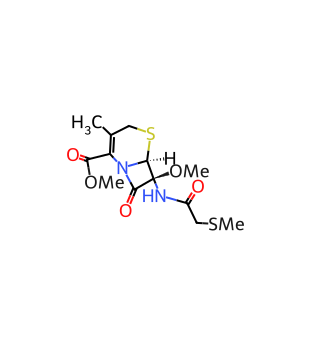 COC(=O)C1=C(C)CS[C@@H]2N1C(=O)[C@]2(NC(=O)CSC)OC